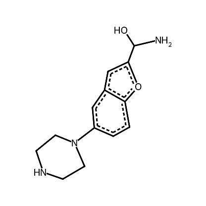 NC(O)c1cc2cc(N3CCNCC3)ccc2o1